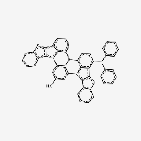 Cc1cc2c3c(c1)-n1c4c(ccc(N(c5ccccc5)c5ccccc5)c4c4sc5ccccc5c41)B3c1cccc3c4sc5ccccc5c4n-2c13